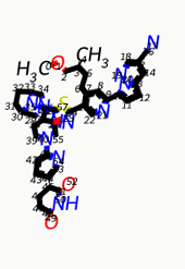 COC[C@@H](C)CCc1cc(-c2ccc3cc(C#N)cnn23)ncc1-c1nnc(N2CC3CCC(C2)N3CC2CCN(c3ccc([C@H]4CCC(=O)NC4=O)cn3)CC2)s1